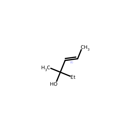 C/C=C/C(C)(O)CC